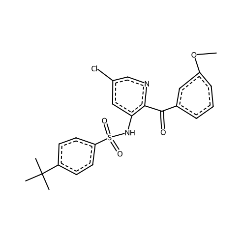 COc1cccc(C(=O)c2ncc(Cl)cc2NS(=O)(=O)c2ccc(C(C)(C)C)cc2)c1